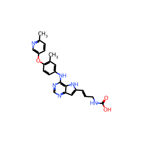 Cc1ccc(Oc2ccc(Nc3ncnc4cc(C=CCNC(=O)O)[nH]c34)cc2C)cn1